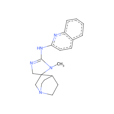 CN1C(Nc2ccc3ccccc3n2)=NCC12CN1CCC2CC1